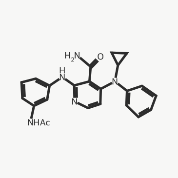 CC(=O)Nc1cccc(Nc2nccc(N(c3ccccc3)C3CC3)c2C(N)=O)c1